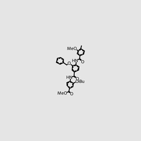 COC(=O)c1ccc(NC(=O)c2ccc(NC(=O)c3ccc(C)c(OC)c3)c(OCc3ccccc3)c2)c(OCC(C)C)c1